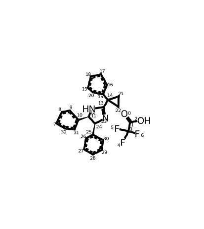 O=C(O)C(F)(F)F.c1ccc([C@H]2NC(C3(c4ccccc4)CC3)=N[C@H]2c2ccccc2)cc1